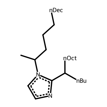 CCCCCCCCCCCCCC(C)n1ccnc1C(CCCC)CCCCCCCC